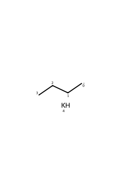 [CH2]CCC.[KH]